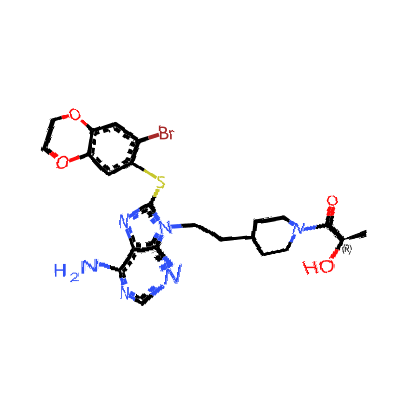 C[C@@H](O)C(=O)N1CCC(CCn2c(Sc3cc4c(cc3Br)OCCO4)nc3c(N)ncnc32)CC1